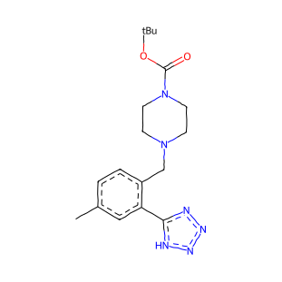 Cc1ccc(CN2CCN(C(=O)OC(C)(C)C)CC2)c(-c2nnn[nH]2)c1